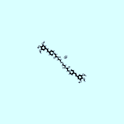 COc1cc(/C=C/c2cc[n+](CC(=O)NCCSSCCNC(=O)C[n+]3ccc(/C=C/c4cc(OC)c(OC)c(OC)c4)cc3)cc2)cc(OC)c1OC.[Cl-].[Cl-]